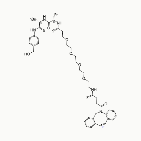 CCCC[C@H](NC(=O)[C@@H](NC(=S)CCOCCOCCOCCOCCNC(=S)CCC(=O)N1Cc2ccccc2/C=C\c2ccccc21)C(C)C)C(=S)Nc1ccc(CO)cc1